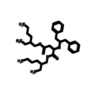 CCCCC(CC)COC(=O)CC(ON(Cc1ccccc1)Cc1ccccc1)C(=O)OCC(CC)CCCC